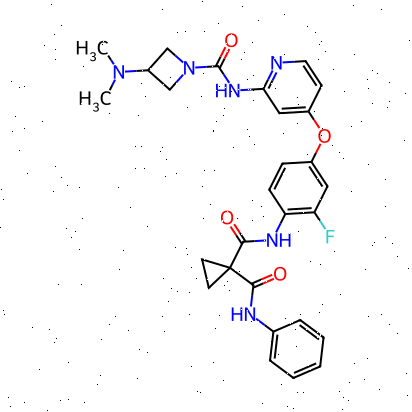 CN(C)C1CN(C(=O)Nc2cc(Oc3ccc(NC(=O)C4(C(=O)Nc5ccccc5)CC4)c(F)c3)ccn2)C1